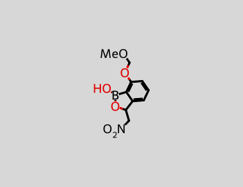 COCOc1cccc2c1B(O)OC2C[N+](=O)[O-]